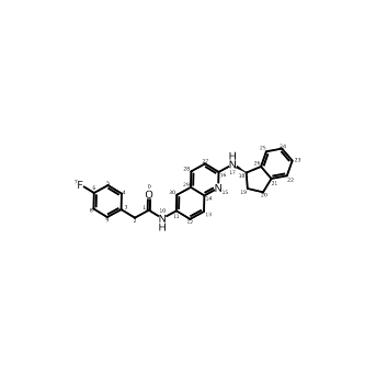 O=C(Cc1ccc(F)cc1)Nc1ccc2nc(N[C@@H]3CCc4ccccc43)ccc2c1